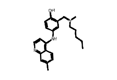 CCCCCN(C)Cc1cc(Nc2ccnc3cc(C)ccc23)ccc1O